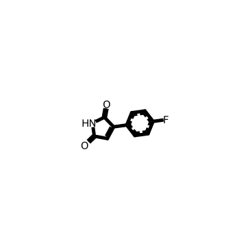 O=C1C=C(c2ccc(F)cc2)C(=O)N1